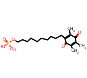 CC1=C(C)C(=O)C(CCCCCCCCCCOP(=O)(O)O)=C(C)C1=O